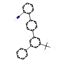 CC(C)(C)c1cc(-c2ccccc2)cc(-c2ccc(-c3ccccc3C#N)cc2)c1